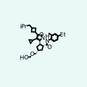 CCc1ccc(NC(=O)[C@@H]2C[C@H](COCO)C[C@H]2c2noc(C3CC(CC(C)C)C3)c2C2CC2)c(C)c1